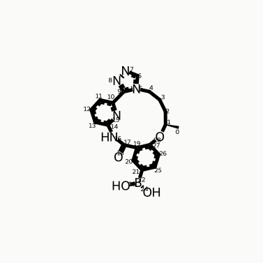 C[C@@H]1CCCn2cnnc2-c2cccc(n2)NC(=O)c2cc(B(O)O)ccc2O1